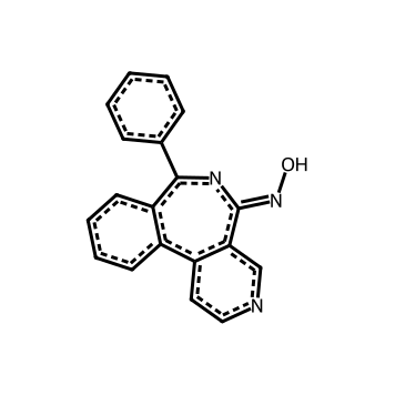 ON=c1nc(-c2ccccc2)c2ccccc2c2ccncc12